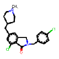 CN1CCC(Cc2cc(Cl)c3c(c2)CN(Cc2ccc(Cl)cc2)C3=O)CC1